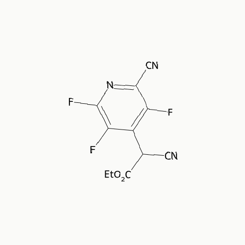 CCOC(=O)C(C#N)c1c(F)c(F)nc(C#N)c1F